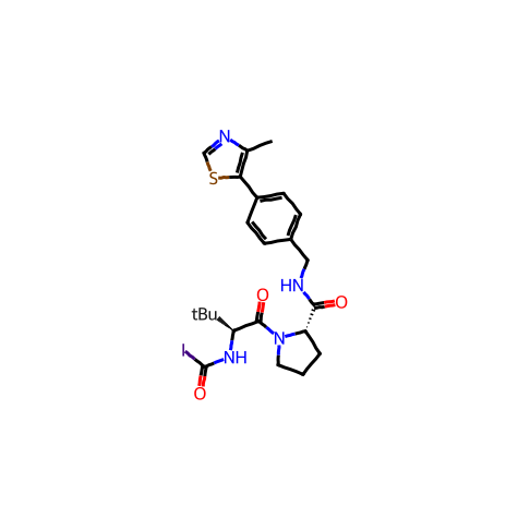 Cc1ncsc1-c1ccc(CNC(=O)[C@@H]2CCCN2C(=O)[C@@H](NC(=O)I)C(C)(C)C)cc1